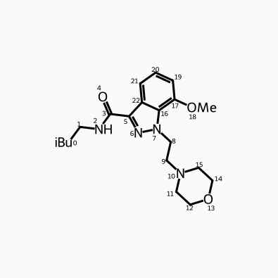 CCC(C)CNC(=O)c1nn(CCN2CCOCC2)c2c(OC)cccc12